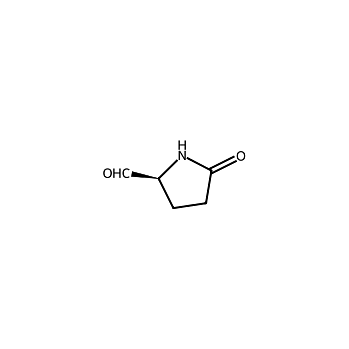 O=C[C@@H]1CCC(=O)N1